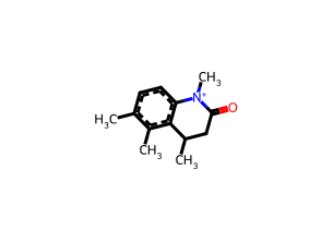 Cc1ccc2c(c1C)C(C)CC(=O)[N+]2C